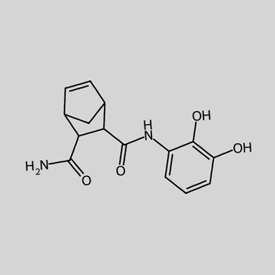 NC(=O)C1C2C=CC(C2)C1C(=O)Nc1cccc(O)c1O